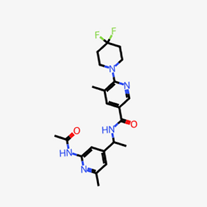 CC(=O)Nc1cc(C(C)NC(=O)c2cnc(N3CCC(F)(F)CC3)c(C)c2)cc(C)n1